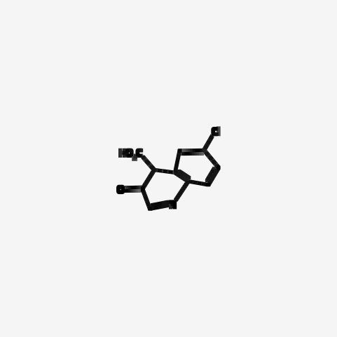 O=C(O)C1C(=O)C=Nc2ccc(Cl)cc21